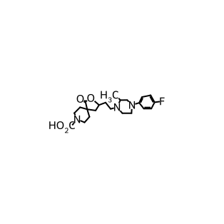 CC1CN(c2ccc(F)cc2)CCN1CCC1CC2(CCN(C(=O)O)CC2)C(=O)O1